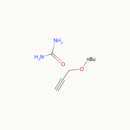 C#CCOCCCC.NC(N)=O